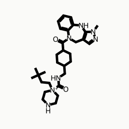 Cn1ncc2c1Nc1ccccc1N(C(=O)C1CCC(CNC(=O)[N+]3(CCC(C)(C)C)CCNCC3)CC1)C2